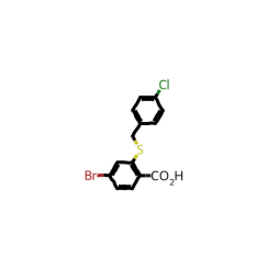 O=C(O)c1ccc(Br)cc1SCc1ccc(Cl)cc1